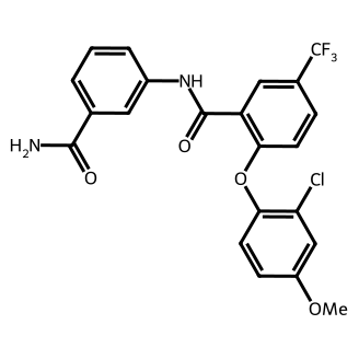 COc1ccc(Oc2ccc(C(F)(F)F)cc2C(=O)Nc2cccc(C(N)=O)c2)c(Cl)c1